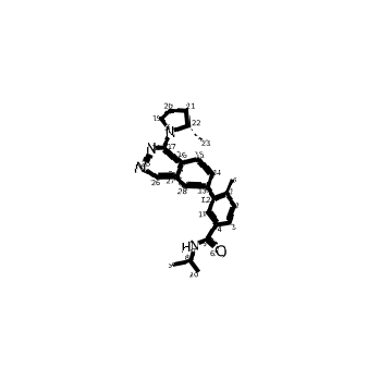 Cc1ccc(C(=O)NC(C)C)cc1-c1ccc2c(N3CCC[C@@H]3C)nncc2c1